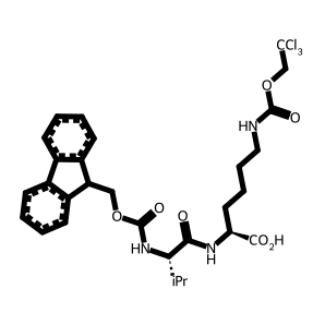 CC(C)[C@H](NC(=O)OCC1c2ccccc2-c2ccccc21)C(=O)N[C@@H](CCCCNC(=O)OCC(Cl)(Cl)Cl)C(=O)O